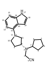 N#CCN(C1CCCC1)[C@@H]1CCN(c2ncnc3[nH]ccc23)C1